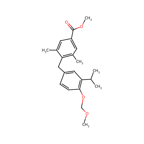 COCOc1ccc(Cc2c(C)cc(C(=O)OC)cc2C)cc1C(C)C